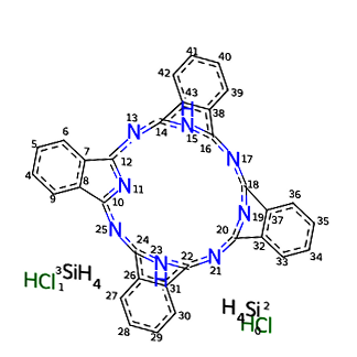 Cl.Cl.[SiH4].[SiH4].c1ccc2c(c1)-c1nc-2nc2[nH]c(nc3nc(nc4[nH]c(n1)c1ccccc41)-c1ccccc1-3)c1ccccc21